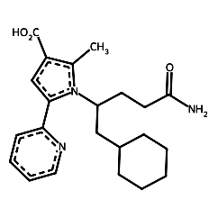 Cc1c(C(=O)O)cc(-c2ccccn2)n1C(CCC(N)=O)CC1CCCCC1